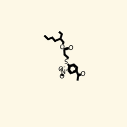 CCCCC(CC)COC(=O)CCSc1ccc(C(C)=O)cc1[N+](=O)[O-]